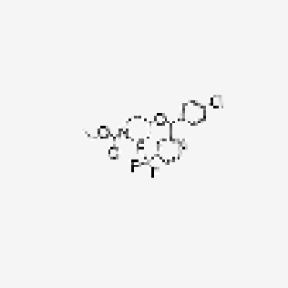 CCOC(=O)N1CCC(OC(c2ccc(Cl)cc2)c2cc(C(F)(F)F)ccn2)CC1